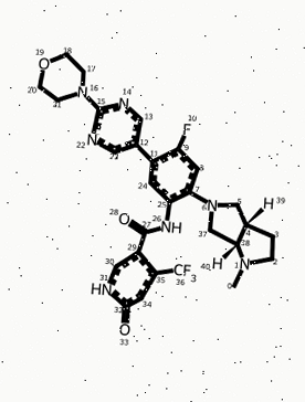 CN1CC[C@H]2CN(c3cc(F)c(-c4cnc(N5CCOCC5)nc4)cc3NC(=O)c3c[nH]c(=O)cc3C(F)(F)F)C[C@H]21